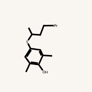 Cc1cc(SC(C)CCC(C)C)cc(C)c1O